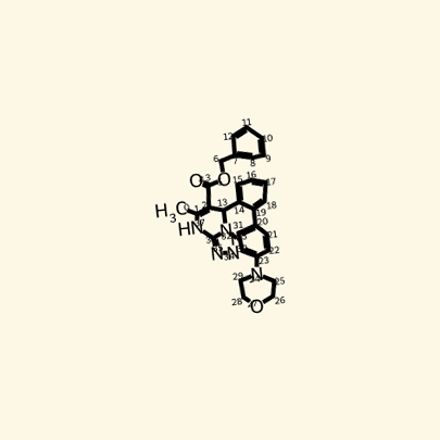 CC1=C(C(=O)OCc2ccccc2)C(c2ccccc2-c2ccc(N3CCOCC3)cc2)n2nnnc2N1